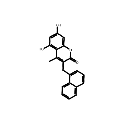 Cc1c(Cc2cccc3ccccc23)c(=O)oc2cc(O)cc(O)c12